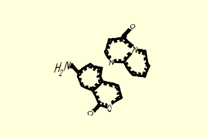 Nc1ccc2ccoc(=O)c2c1.O=c1ccnc2ccccn12